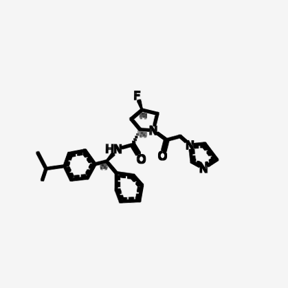 CC(C)c1ccc([C@@H](NC(=O)[C@@H]2C[C@@H](F)CN2C(=O)Cn2ccnc2)c2ccccc2)cc1